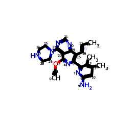 C#COc1nc(-c2nc(N)cc(C)c2C)c(/C=C/C)c2ncnc(N3CCNCC3)c12